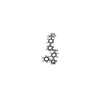 CS(=O)(=O)c1ccc(-c2ccnc(Nc3ccc(-n4nncc4-c4ccccc4)cc3)n2)cc1